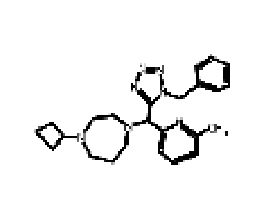 Cc1cccc(C(c2nnnn2Cc2ccccc2)N2CCCN(C3CCC3)CC2)n1